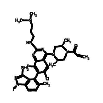 C=CC(=O)N1C[C@H](C)N(c2nc(NCCCN(C)C)nc3c(F)c(-c4c(C)ccc5c4c(N)nn5I)c(Cl)cc23)C[C@H]1C